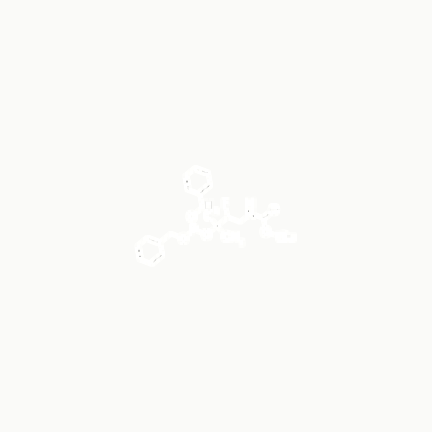 CC(C)(C)OC(=O)NCC(F)C(C)(C)OP(OCc1ccccc1)OCc1ccccc1